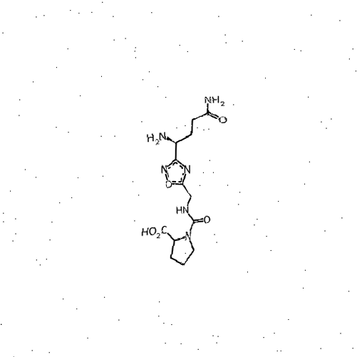 NC(=O)CC[C@H](N)c1noc(CNC(=O)N2CCCC2C(=O)O)n1